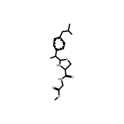 COC(=O)CNC(=O)C1CSC(C(C)c2ccc(CC(C)C)cc2)N1